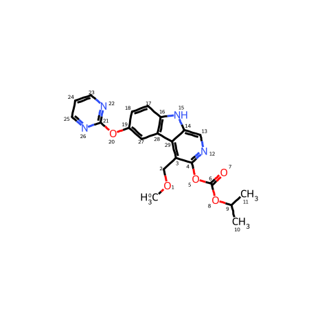 COCc1c(OC(=O)OC(C)C)ncc2[nH]c3ccc(Oc4ncccn4)cc3c12